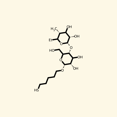 CCC1O[C@@H](O[C@H]2C(CO)O[C@@H](OCCCCCS)[C@@H](O)C2O)[C@@H](O)C(O)[C@H]1C